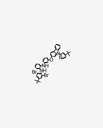 CC(C)(C)c1ccnc(-n2c3ccccc3c3ccc(Oc4cccc(Nc5ccccc5Nc5c(Br)cc(C(C)(C)C)cc5Br)c4)cc32)c1